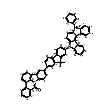 CC1(C)c2cc(-c3ccc4c(c3)c3cccc5c6ccccc6c(=O)n4c53)ccc2-c2ccc(-n3c4ccccc4c4c5c6ccccc6n(-c6ccccc6)c5ccc43)cc21